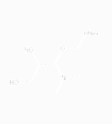 CCCCCCCOC(C(O)CO)N(C)C